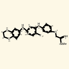 CNC(=N)COc1ccc(Nc2nc(Nc3ccc4c(c3)OCCO4)ncc2F)cc1